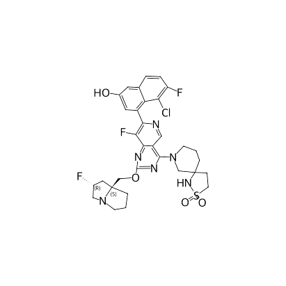 O=S1(=O)CCC2(CCCN(c3nc(OC[C@@]45CCCN4C[C@H](F)C5)nc4c(F)c(-c5cc(O)cc6ccc(F)c(Cl)c56)ncc34)C2)N1